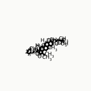 CC(C)C1=C2C3CCC4[C@@]5(C)CC[C@H](OC(=O)CC(C)(C)C(=O)O)C(C)(C)C5CC[C@@]4(C)[C@]3(C)CC[C@@]2(NC(=O)OC[C@@H]2CCCN2C)CC1=O